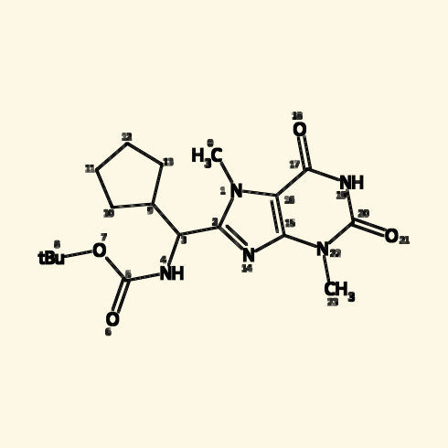 Cn1c(C(NC(=O)OC(C)(C)C)C2CCCC2)nc2c1c(=O)[nH]c(=O)n2C